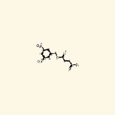 CCC(=O)CCC(=O)OCc1cc([N+](=O)[O-])cc([N+](=O)[O-])c1